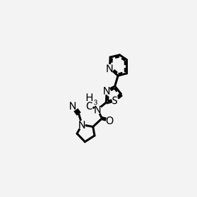 CN(C(=O)C1CCCN1C#N)c1nc(-c2ccccn2)cs1